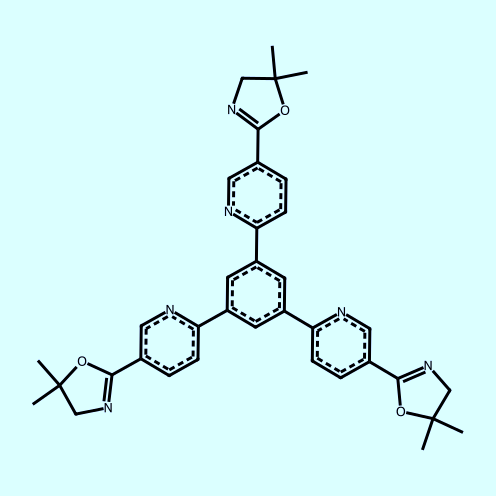 CC1(C)CN=C(c2ccc(-c3cc(-c4ccc(C5=NCC(C)(C)O5)cn4)cc(-c4ccc(C5=NCC(C)(C)O5)cn4)c3)nc2)O1